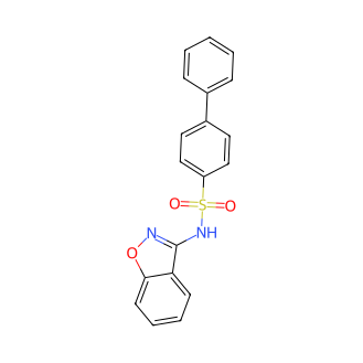 O=S(=O)(Nc1noc2ccccc12)c1ccc(-c2ccccc2)cc1